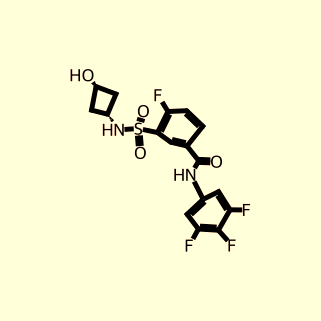 O=C(Nc1cc(F)c(F)c(F)c1)c1ccc(F)c(S(=O)(=O)N[C@H]2C[C@H](O)C2)c1